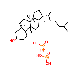 CC(C)CCCC(C)[C@H]1CC[C@H]2[C@@H]3CC=C4C[C@@H](O)CC[C@]4(C)[C@H]3CC[C@]12C.O=[PH](O)O.O=[PH](O)O